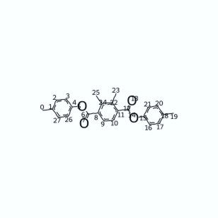 Cc1ccc(OC(=O)c2ccc(C(=O)Oc3ccc(C)cc3)c(C)c2C)cc1